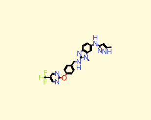 Cc1cc(Nc2ccc3nc(NCc4ccc(Oc5ncc(C(F)(F)F)cn5)cc4)n(C)c3c2)n[nH]1